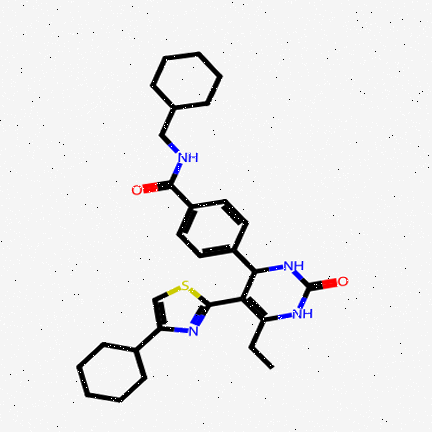 CCC1=C(c2nc(C3CCCCC3)cs2)C(c2ccc(C(=O)NCC3CCCCC3)cc2)NC(=O)N1